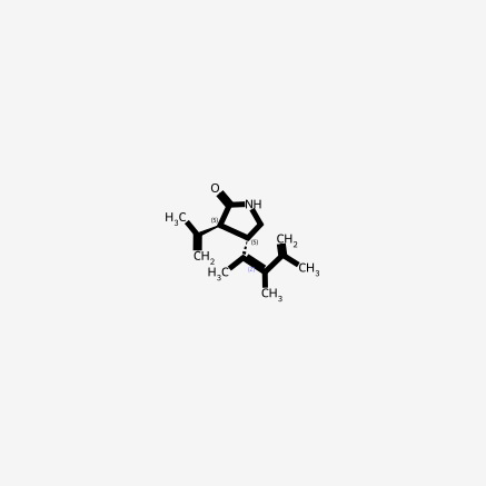 C=C(C)/C(C)=C(/C)[C@H]1CNC(=O)[C@@H]1C(=C)C